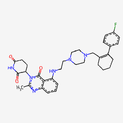 Cc1nc2cccc(NCCN3CCN(CC4=C(c5ccc(F)cc5)CCCC4)CC3)c2c(=O)n1C1CCC(=O)NC1=O